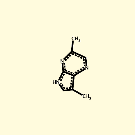 Cc1cnc2c(C)c[nH]c2n1